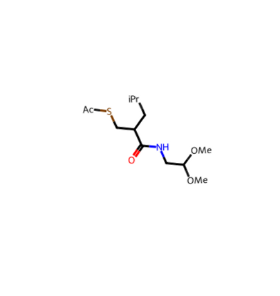 COC(CNC(=O)C(CSC(C)=O)CC(C)C)OC